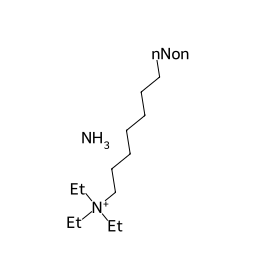 CCCCCCCCCCCCCCCC[N+](CC)(CC)CC.N